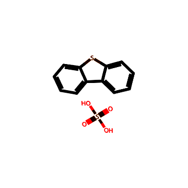 O=S(=O)(O)O.c1ccc2c(c1)sc1ccccc12